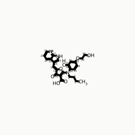 CCCCN(C1=C(C(=O)O)C(=O)C(=Cc2c[nH]c3ncccc23)O1)c1ccc(OCCO)cc1C